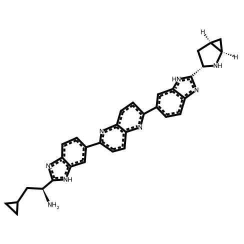 N[C@@H](CC1CC1)c1nc2ccc(-c3ccc4nc(-c5ccc6nc([C@@H]7C[C@H]8C[C@H]8N7)[nH]c6c5)ccc4n3)cc2[nH]1